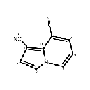 N#Cc1ccn2cccc(F)c12